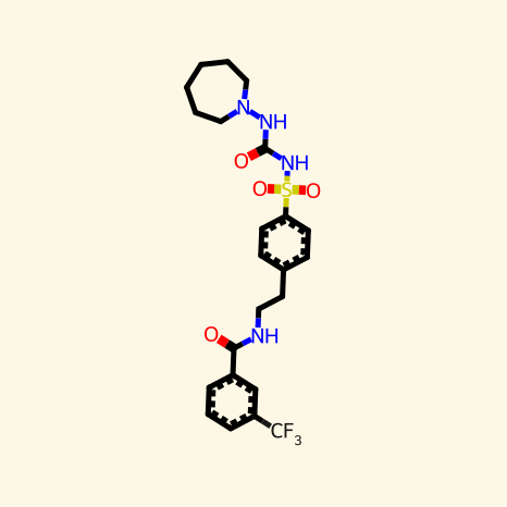 O=C(NN1CCCCCC1)NS(=O)(=O)c1ccc(CCNC(=O)c2cccc(C(F)(F)F)c2)cc1